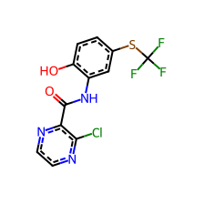 O=C(Nc1cc(SC(F)(F)F)ccc1O)c1nccnc1Cl